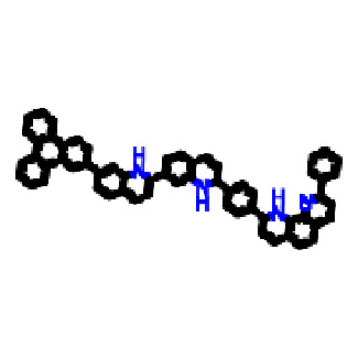 C1=CC2=CC=C(c3ccc4c(c3)NC(c3ccc(C5C=Cc6ccc7ccc(-c8ccccc8)nc7c6N5)cc3)C=C4)NC2C=C1c1ccc2c3ccccc3c3ccccc3c2c1